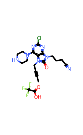 CC#CCn1c(=O)n(CCCC#N)c2nc(Cl)nc(N3CCNCC3)c21.O=C(O)C(F)(F)F